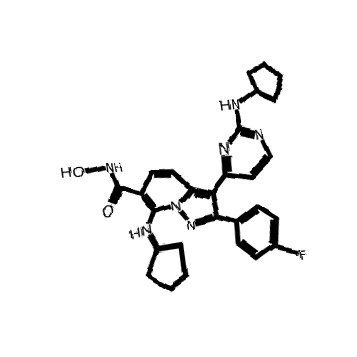 O=C(NO)c1ccc2c(-c3ccnc(NC4CCCC4)n3)c(-c3ccc(F)cc3)nn2c1NC1CCCC1